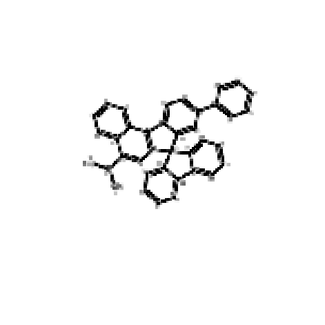 OB(O)c1cc2c(c3ccccc13)-c1ccc(-c3ccccc3)cc1C21c2ccccc2-c2ccccc21